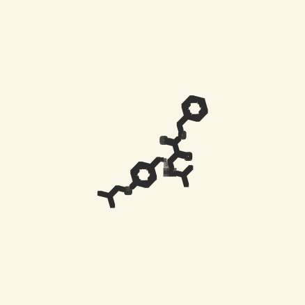 CC(C)COc1ccc(C[C@@H](NC(C)C)C(=O)C(=O)OCc2ccccc2)cc1